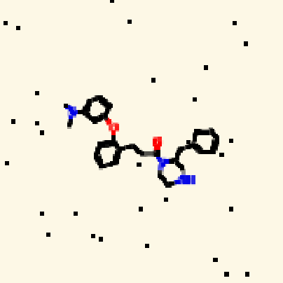 CN(C)c1cccc(Oc2ccccc2CCC(=O)N2CCNCC2Cc2ccccc2)c1